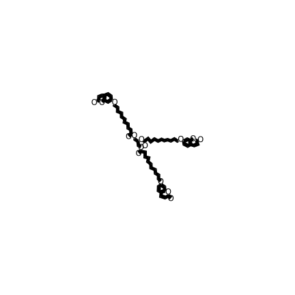 O=C(CCCCCCCCCCOc1ccc2ccc(=O)oc2c1)OCC(COC(=O)CCCCCCCCCCOc1ccc2ccc(=O)oc2c1)OC(=O)CCCCCCCCCCOc1ccc2ccc(=O)oc2c1